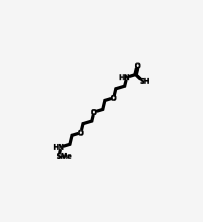 CSNCCOCCOCCOCCNC(=O)S